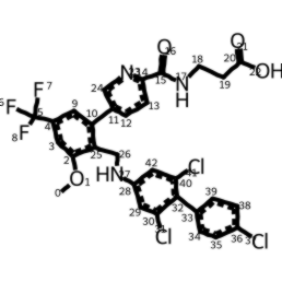 COc1cc(C(F)(F)F)cc(-c2ccc(C(=O)NCCC(=O)O)nc2)c1CNc1cc(Cl)c(-c2ccc(Cl)cc2)c(Cl)c1